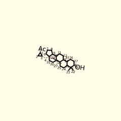 CC(=O)[C@H]1C[C@H]1C[C@]12CCCC1C1CCC3[C@@]4(C)CC[C@H](O)C(C)(C)C4CC[C@@]3(C)[C@]1(C)CC2